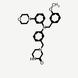 COc1cccc(CN(c2cccc(CN3CCNC(=O)C3)c2)c2cccc(N3CCOCC3)c2)c1